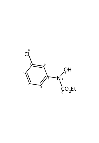 CCOC(=O)N(O)c1cccc(Cl)c1